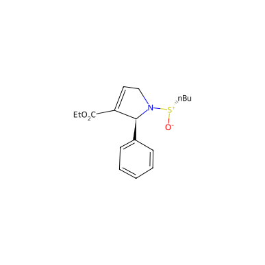 CCCC[S@+]([O-])N1CC=C(C(=O)OCC)[C@@H]1c1ccccc1